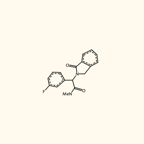 CNC(=O)C(c1cccc(F)c1)N1Cc2ccccc2C1=O